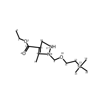 CCOC(=O)C1=C(C)N(COCC[Si](C)(C)C)NC1